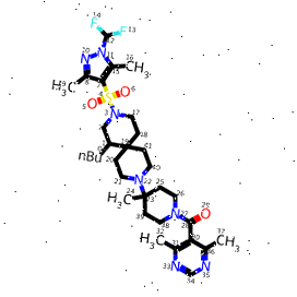 CCCCC1CN(S(=O)(=O)c2c(C)nn(C(F)F)c2C)CCC12CCN(C1(C)CCN(C(=O)c3c(C)ncnc3C)CC1)CC2